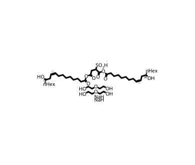 CCCCCC[C@@H](O)C/C=C\CCCCCCCC(=O)OC(=O)CC(C(=O)OC(=O)CCCCCCC/C=C\C[C@H](O)CCCCCC)S(=O)(=O)O.OCCOCCO.OCCOCCO.[NaH].[NaH]